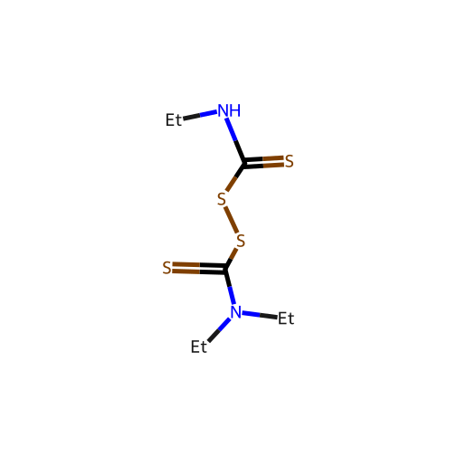 CCNC(=S)SSC(=S)N(CC)CC